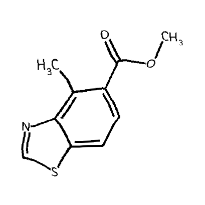 COC(=O)c1ccc2scnc2c1C